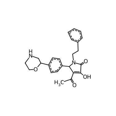 CC(=O)C1=C(O)C(=O)N(CCc2ccccc2)C1c1ccc(C2CNCCO2)cc1